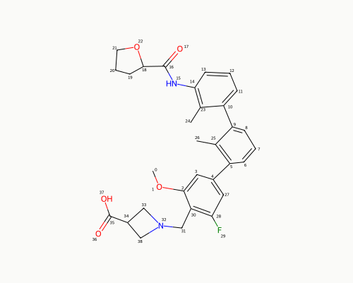 COc1cc(-c2cccc(-c3cccc(NC(=O)C4CCCO4)c3C)c2C)cc(F)c1CN1CC(C(=O)O)C1